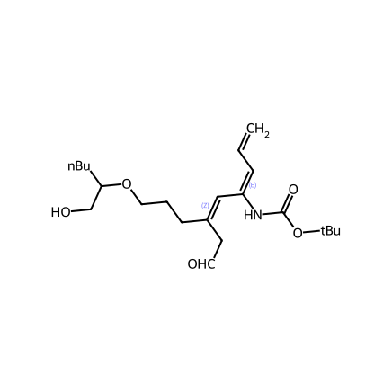 C=C/C=C(\C=C(/CC=O)CCCOC(CO)CCCC)NC(=O)OC(C)(C)C